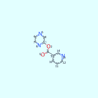 O=C(Oc1cnccn1)c1cccnc1